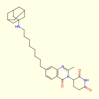 Cc1nc2cc(CCCCCCCCNC34CC5CC(CC(C5)C3)C4)ccc2c(=O)n1C1CCC(=O)NC1=O